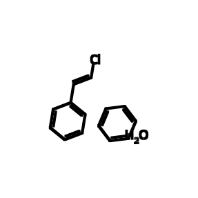 ClC=Cc1ccccc1.O.c1ccccc1